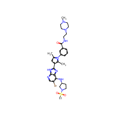 CCS(=O)(=O)N1CC[C@H](Nc2c(Br)cnc3[nH]c(-c4cc(C)n(-c5cccc(C(=O)NCCN6CCN(C)CC6)c5)c4C)nc23)C1